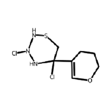 ClN1NSCC(Cl)(C2=COCCC2)N1